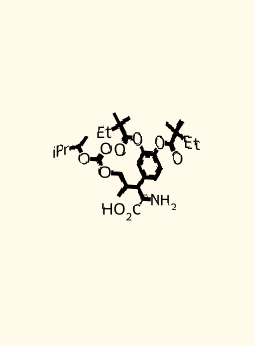 CCC(C)(C)C(=O)Oc1ccc(C(C(C)COC(=O)OC(C)C(C)C)[C@H](N)C(=O)O)cc1OC(=O)C(C)(C)CC